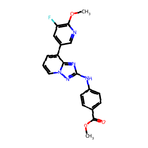 COC(=O)c1ccc(Nc2nc3c(-c4cnc(OC)c(F)c4)cccn3n2)cc1